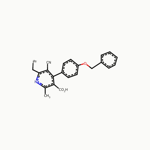 Cc1nc(CC(C)C)c(C#N)c(-c2ccc(OCc3ccccc3)cc2)c1C(=O)O